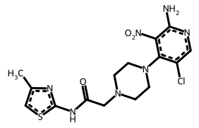 Cc1csc(NC(=O)CN2CCN(c3c(Cl)cnc(N)c3[N+](=O)[O-])CC2)n1